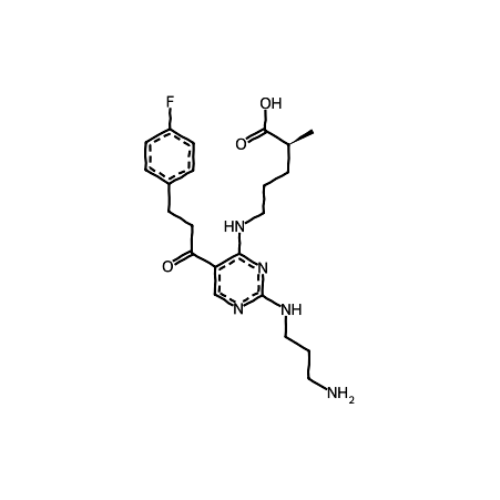 C[C@@H](CCCNc1nc(NCCCN)ncc1C(=O)CCc1ccc(F)cc1)C(=O)O